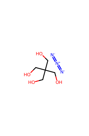 OCC(CO)(CO)CO.[N-]=[N+]=[N-]